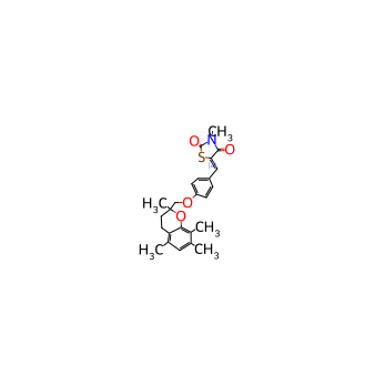 Cc1cc(C)c2c(c1C)OC(C)(COc1ccc(/C=C3\SC(=O)N(C)C3=O)cc1)CC2